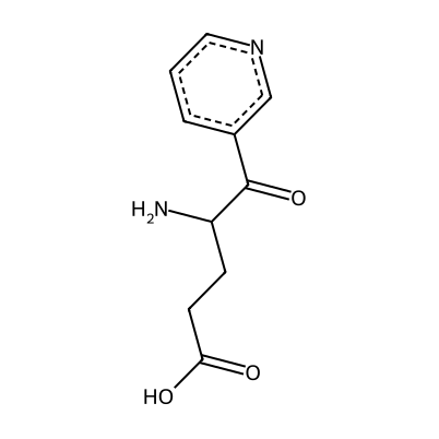 NC(CCC(=O)O)C(=O)c1cccnc1